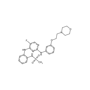 CS(=O)(=O)Nc1ccccc1Nc1nc(Nc2cccc(OCCN3CCOCC3)c2)ncc1F